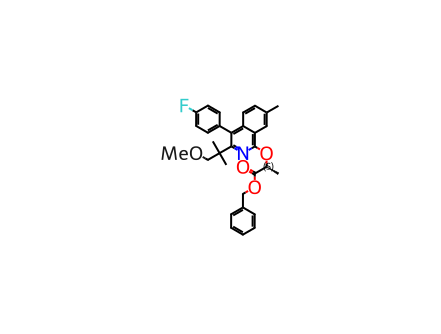 COCC(C)(C)c1nc(O[C@@H](C)C(=O)OCc2ccccc2)c2cc(C)ccc2c1-c1ccc(F)cc1